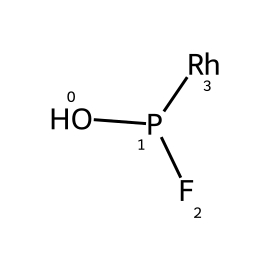 O[P](F)[Rh]